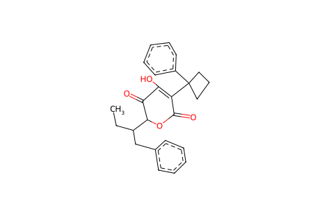 CCC(Cc1ccccc1)C1OC(=O)C(C2(c3ccccc3)CCC2)=C(O)C1=O